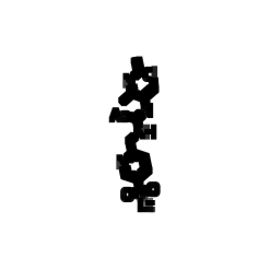 C=C(Cl)\N=C(C)/C(=C\C)/N=C(/NCc1ccc(S(=O)(=O)CC)cn1)C(C)=O